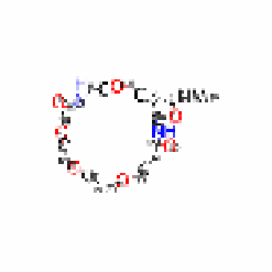 CNC(=O)CC1CCOCCNC(=O)COCCOCCCOCCCC(=O)NC1